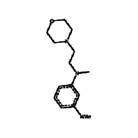 CNc1cccc(N(C)CCN2CCOCC2)c1